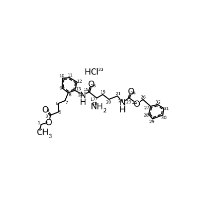 CCOC(=O)CCCc1ccccc1NC(=O)[C@@H](N)CCCNC(=O)OCc1ccccc1.Cl